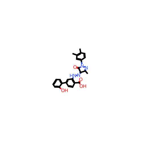 CC1=NN(c2ccc(C)c(C)c2)C(=O)C1=NNc1cc(-c2ccccc2O)ccc1C(=O)O